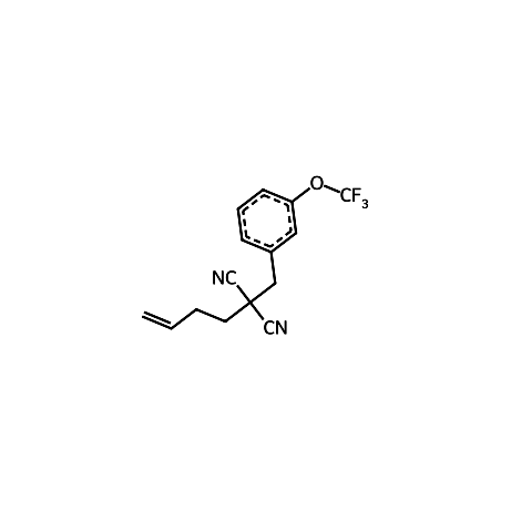 C=CCCC(C#N)(C#N)Cc1cccc(OC(F)(F)F)c1